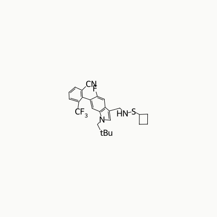 CC(C)(C)Cn1cc(CNSC2CCC2)c2cc(F)c(-c3c(C#N)cccc3C(F)(F)F)cc21